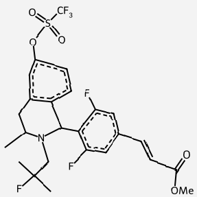 COC(=O)/C=C/c1cc(F)c(C2c3ccc(OS(=O)(=O)C(F)(F)F)cc3CC(C)N2CC(C)(C)F)c(F)c1